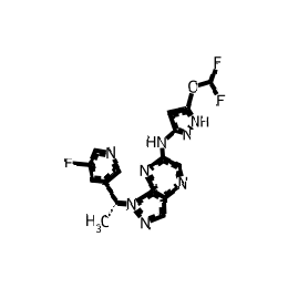 C[C@H](c1cncc(F)c1)n1ncc2ncc(Nc3cc(OC(F)F)[nH]n3)nc21